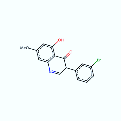 COc1cc(O)c2c(c1)N=CC(c1cccc(Br)c1)C2=O